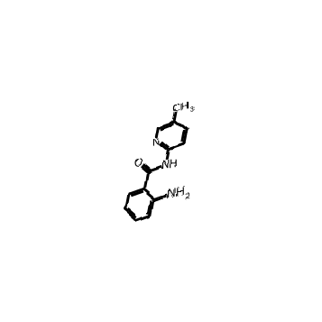 Cc1ccc(NC(=O)c2ccccc2N)nc1